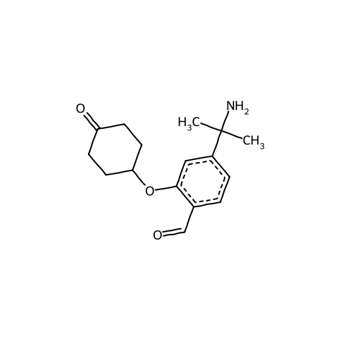 CC(C)(N)c1ccc(C=O)c(OC2CCC(=O)CC2)c1